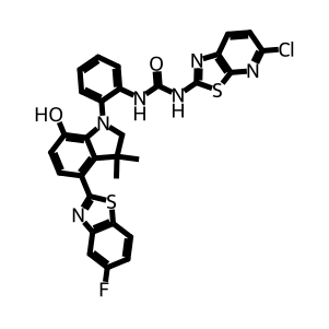 CC1(C)CN(c2ccccc2NC(=O)Nc2nc3ccc(Cl)nc3s2)c2c(O)ccc(-c3nc4cc(F)ccc4s3)c21